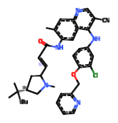 Cc1cc2ncc(C#N)c(Nc3ccc(OCc4ccccn4)c(Cl)c3)c2cc1NC(=O)/C=C/C1C[C@@H](C(C)(C)C(C)(C)C)CN1C